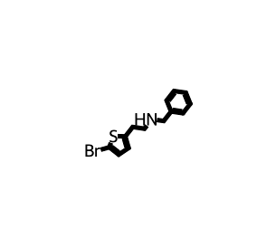 Brc1ccc(CCNCc2ccccc2)s1